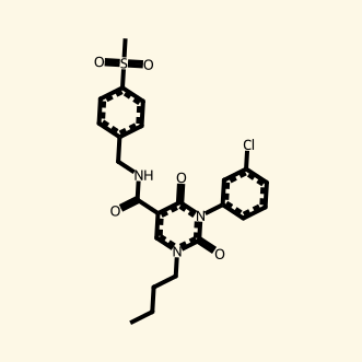 CCCCn1cc(C(=O)NCc2ccc(S(C)(=O)=O)cc2)c(=O)n(-c2cccc(Cl)c2)c1=O